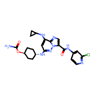 NC(=O)O[C@H]1CC[C@H](Nc2cc(NC3CC3)c3ncc(C(=O)Nc4ccnc(Cl)c4)n3n2)CC1